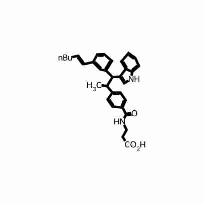 CCCC/C=C/c1cccc(C(c2c[nH]c3ccccc23)C(C)c2ccc(C(=O)NCCC(=O)O)cc2)c1